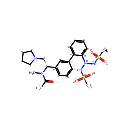 CC(=O)N(C)[C@H](CN1CCCC1)c1cccc(-c2ccccc2N(NS(C)(=O)=O)NS(C)(=O)=O)c1